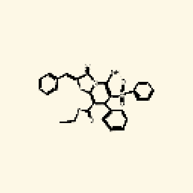 CCOC(=O)C1=c2s/c(=C\c3ccccc3)c(=O)n2C(N)=C(S(=O)(=O)c2ccccc2)C1c1ccccc1